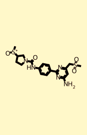 C[S+]([O-])C1CCN(C(=O)Nc2ccc(-c3nc(N)cc(CS(C)(=O)=O)n3)cc2)C1